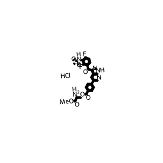 COC(=O)[C@@H](N)COC(=O)c1ccc(-c2cnc3[nH]nc(C(=O)c4ccc(F)c(NS(C)(=O)=O)c4F)c3c2)cc1.Cl